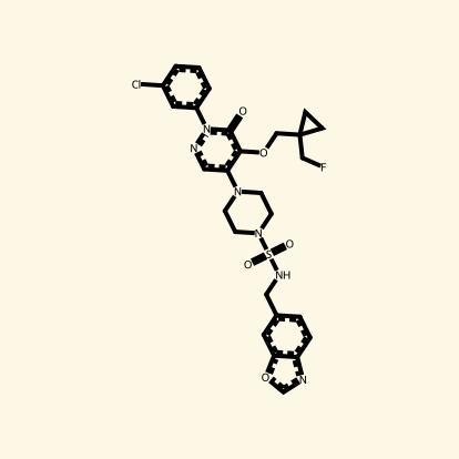 O=c1c(OCC2(CF)CC2)c(N2CCN(S(=O)(=O)NCc3ccc4ncoc4c3)CC2)cnn1-c1cccc(Cl)c1